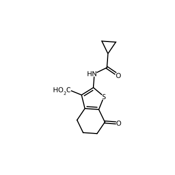 O=C1CCCc2c1sc(NC(=O)C1CC1)c2C(=O)O